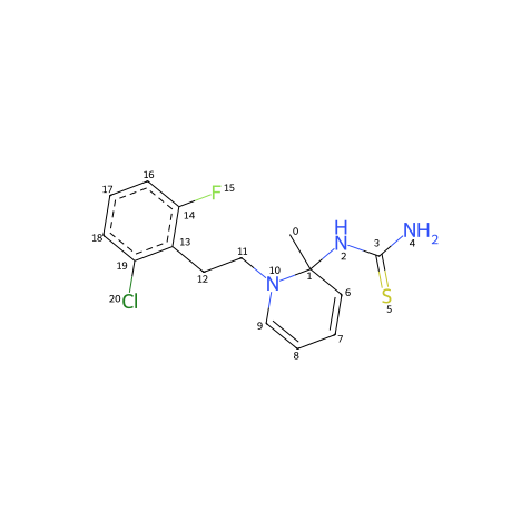 CC1(NC(N)=S)C=CC=CN1CCc1c(F)cccc1Cl